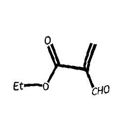 C=C(C=O)C(=O)OCC